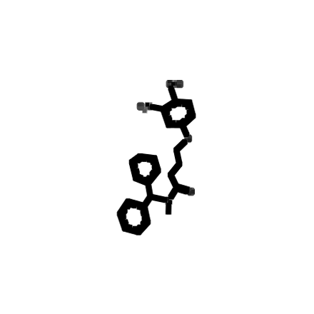 CN(C(=O)CCCOc1ccc(C=O)c([N+](=O)[O-])c1)C(c1ccccc1)c1ccccc1